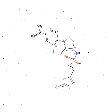 C=C(C)c1ccc(N2CC[C@H](NS(=O)(=O)/C=C/c3ccc(Cl)s3)C2=O)c(F)c1